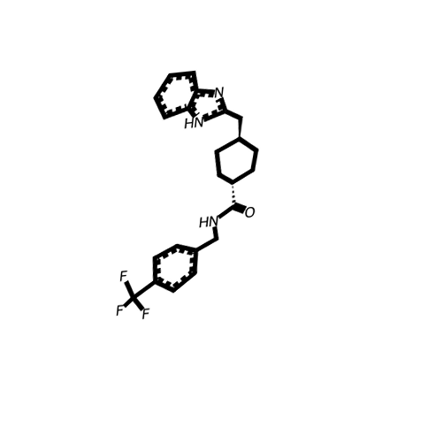 O=C(NCc1ccc(C(F)(F)F)cc1)[C@H]1CC[C@H](Cc2nc3ccccc3[nH]2)CC1